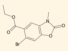 CCOC(=O)c1cc2c(cc1Br)oc(=O)n2C